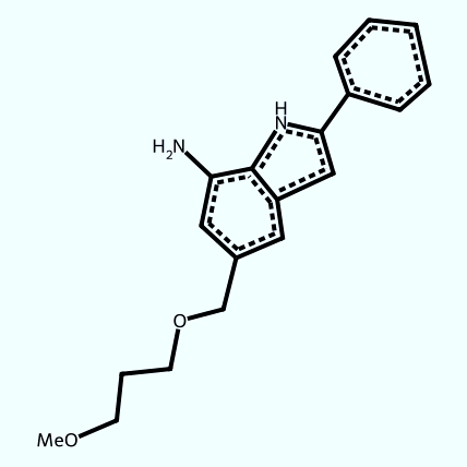 COCCCOCc1cc(N)c2[nH]c(-c3ccccc3)cc2c1